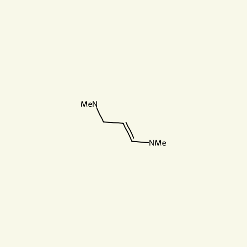 CN/C=C/CNC